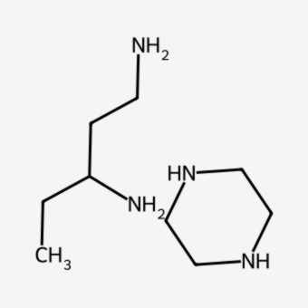 C1CNCCN1.CCC(N)CCN